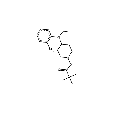 CCN(c1ccccc1N)C1CCN(OC(=O)C(C)(C)C)CC1